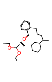 C=C.CC(CCCc1ccccc1C=O)C1CCCCC1.CCOC(C)OCC